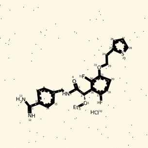 CCO[C@H](C(=O)NCc1ccc(C(=N)N)cc1)c1c(F)ccc(OCCc2cccs2)c1F.Cl